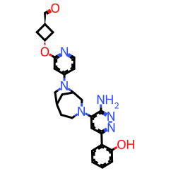 Nc1nnc(-c2ccccc2O)cc1N1CCC2CC(C1)N(c1ccnc(O[C@H]3C[C@H](C=O)C3)c1)C2